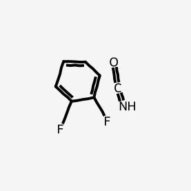 Fc1ccccc1F.N=C=O